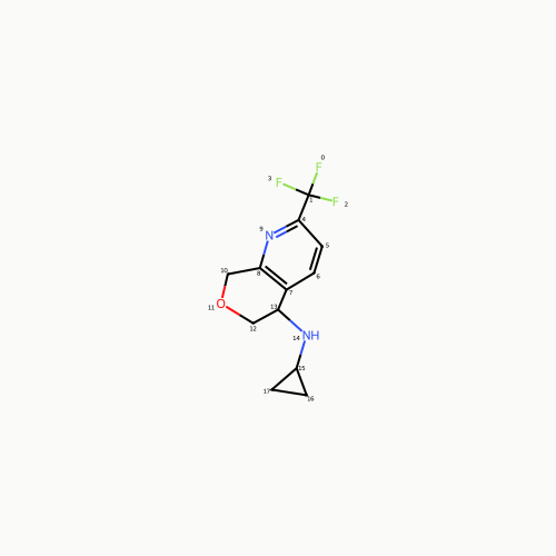 FC(F)(F)c1ccc2c(n1)COCC2NC1CC1